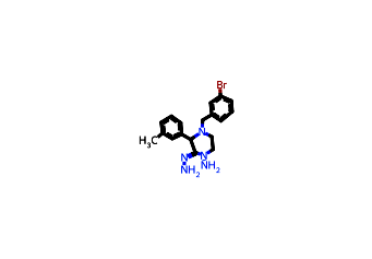 Cc1cccc(C2/C(=N/N)N(N)CCN2Cc2cccc(Br)c2)c1